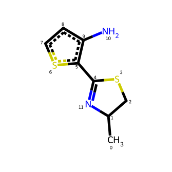 CC1CSC(c2sccc2N)=N1